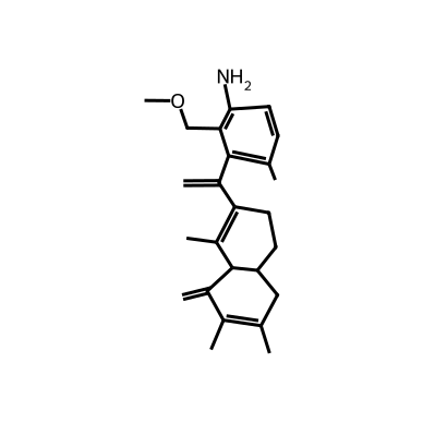 C=C(C1=C(C)C2C(=C)C(C)=C(C)CC2CC1)c1c(C)ccc(N)c1COC